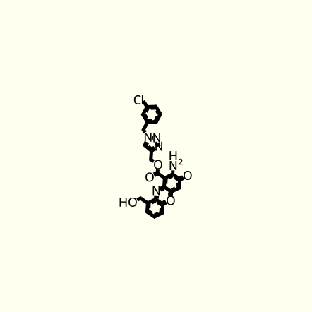 Nc1c(C(=O)OCc2cn(Cc3cccc(Cl)c3)nn2)c2nc3c(CO)cccc3oc-2cc1=O